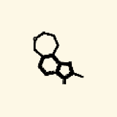 Cc1nc2c3c(ccc2[nH]1)COCCC3